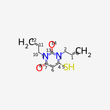 C=CCn1c(S)cc(=O)n(CC=C)c1=O